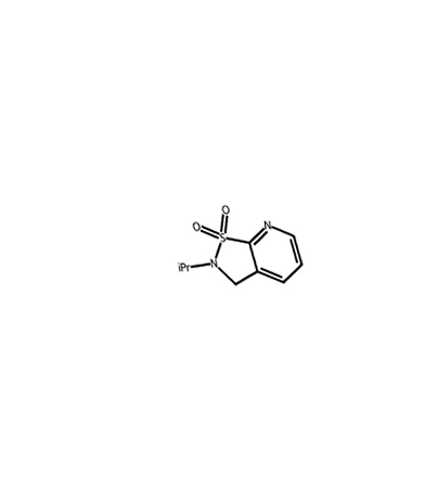 CC(C)N1Cc2cccnc2S1(=O)=O